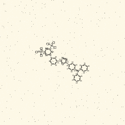 ClC(Cl)(Cl)c1nc(-c2cccc(-c3nnc(-c4ccc(N(c5ccccc5)c5ccccc5)cc4)o3)c2)nc(C(Cl)(Cl)Cl)n1